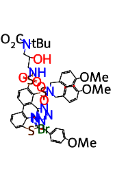 COc1ccc(CN(Cc2ccc(OC)cc2)S(=O)(=O)c2c(S(=O)(=O)NC[C@H](O)CN(C(=O)O)C(C)(C)C)ccc(-c3cccc4sc(Br)nc34)c2-c2nnn(Cc3ccc(OC)cc3)n2)cc1